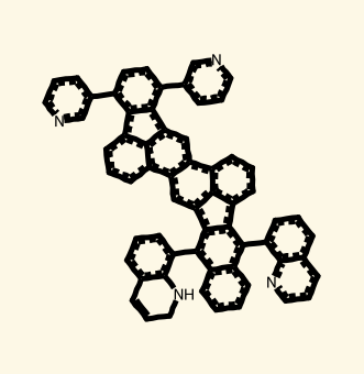 C1=Cc2cccc(-c3c4ccccc4c(-c4cccc5cccnc45)c4c5cccc6c7cc8c9c(-c%10cccnc%10)ccc(-c%10cccnc%10)c9c9cccc(c7cc(c34)c65)c98)c2NC1